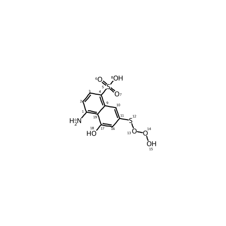 Nc1ccc(S(=O)(=O)O)c2cc(SOOO)cc(O)c12